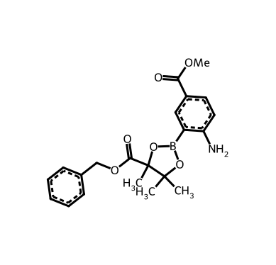 COC(=O)c1ccc(N)c(B2OC(C)(C)C(C)(C(=O)OCc3ccccc3)O2)c1